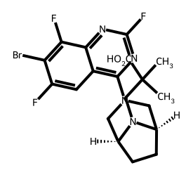 CC(C)(CN1[C@@H]2CC[C@H]1CN(c1nc(F)nc3c(F)c(Br)c(F)cc13)C2)C(=O)O